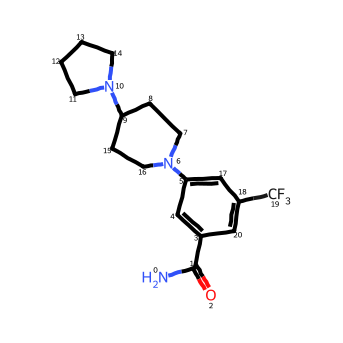 NC(=O)c1cc(N2CCC(N3CCCC3)CC2)cc(C(F)(F)F)c1